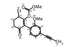 CC#Cc1ccc(C2=C(OC(=O)OC)C(CC)CCC2=O)c(OC)c1